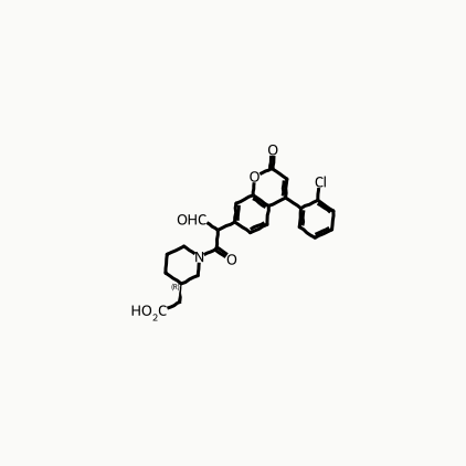 O=CC(C(=O)N1CCC[C@H](CC(=O)O)C1)c1ccc2c(-c3ccccc3Cl)cc(=O)oc2c1